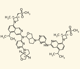 CC(C)c1ccc(N2C[C@H](CS(C)(=O)=O)[C@H]2C)c2cnc(Nc3ccnc(N4CCC5C4COC5N(c4cc5c(C(C)C)ccc(N6C[C@H](CS(C)(=O)=O)[C@H]6C)c5cn4)c4ccnc(N5CC[C@@H]6COC[C@@H]65)n4)n3)cc12